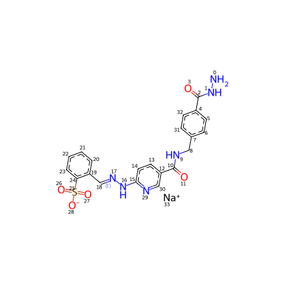 NNC(=O)c1ccc(CNC(=O)c2ccc(N/N=C/c3ccccc3S(=O)(=O)[O-])nc2)cc1.[Na+]